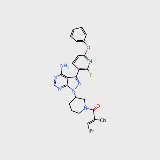 CC(C)C=C(C#N)C(=O)N1CCCC(n2nc(-c3ccc(Oc4ccccc4)nc3F)c3c(N)ncnc32)C1